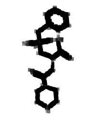 O=C(O)[C@H](CC(=O)N1CCOCC1)CS(=O)(=O)Cc1ccccc1